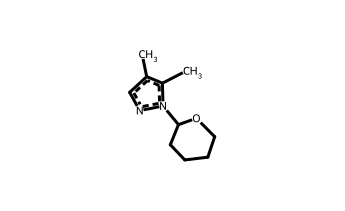 Cc1cnn(C2CCCCO2)c1C